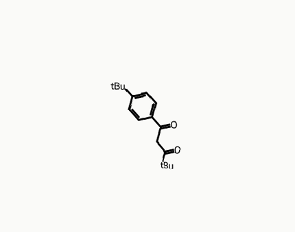 CC(C)(C)C(=O)CC(=O)c1ccc(C(C)(C)C)cc1